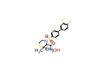 CC1(C)SCCN(S(=O)(=O)c2ccc(-c3ccc(F)c(F)c3)cc2)[C@H]1C(=O)NO